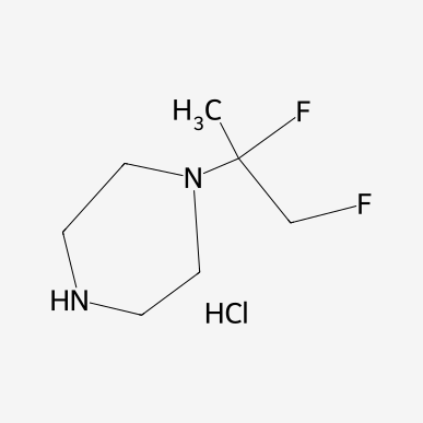 CC(F)(CF)N1CCNCC1.Cl